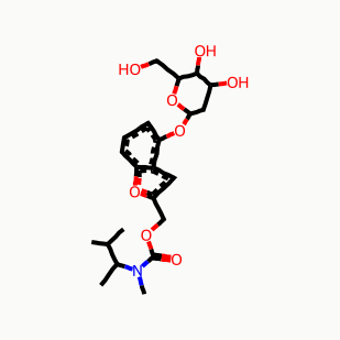 CC(C)C(C)N(C)C(=O)OCc1cc2c(OC3CC(O)C(O)C(CO)O3)cccc2o1